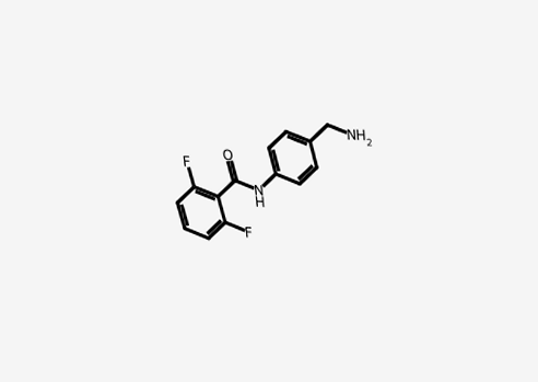 NCc1ccc(NC(=O)c2c(F)cccc2F)cc1